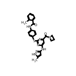 Cc1cc(Nc2cc(C(=O)N3CCC3)nc(Sc3ccc(NC(=O)c4ccccc4C)cc3)n2)n[nH]1